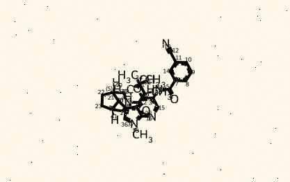 COc1c(NC(=O)c2cccc(C#N)c2)cnc2c1c([C@@H]1[C@@H]3CC[C@H]1CN(C(=O)[C@H](C)C(C)(C)C)C3)cn2C